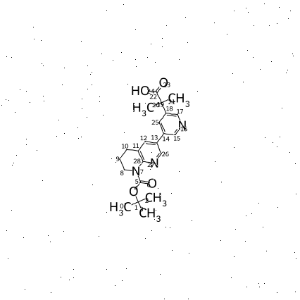 CC(C)(C)OC(=O)N1CCCc2cc(-c3cncc(C(C)(C)C(=O)O)c3)cnc21